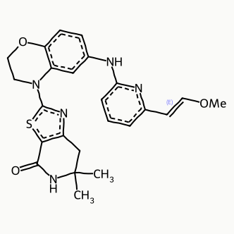 CO/C=C/c1cccc(Nc2ccc3c(c2)N(c2nc4c(s2)C(=O)NC(C)(C)C4)CCO3)n1